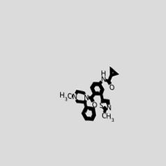 Cc1ncc(-c2cc(NC(=O)C3CC3)ccc2C(=O)N2CCN(C)CC2c2ccccc2)s1